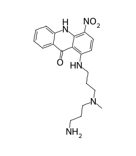 CN(CCCN)CCCNc1ccc([N+](=O)[O-])c2[nH]c3ccccc3c(=O)c12